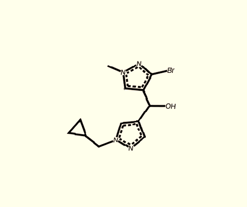 Cn1cc(C(O)c2cnn(CC3CC3)c2)c(Br)n1